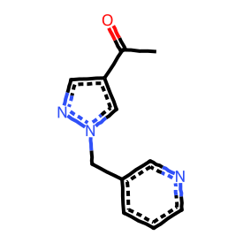 CC(=O)c1cnn(Cc2cccnc2)c1